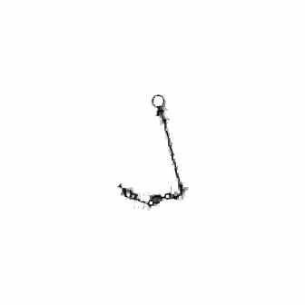 COc1cc2c(cc1OCCCOc1cc3c(cc1OC)C(=O)N1C=C(C4CC4)C[C@H]1C=N3)N=C[C@@H]1CC(c3ccc(NC(=O)[C@H](C)NC(=O)[C@@H](NC(=O)CCOCCOCCOCCOCCOCCOCCOCCOCCNC(=O)CCN4C(=O)CC(C5CCCCCCCCCCCC5)C4=O)C(C)C)cc3)=CN1C2=O